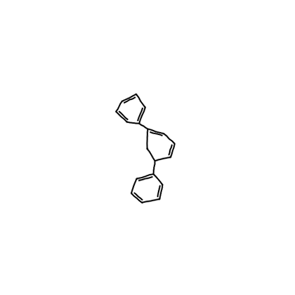 C1=CC(c2ccccc2)CC(c2ccccc2)=C1